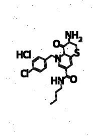 CCCCNC(=O)C1=CN(Cc2ccc(Cl)cc2)C2C(=O)[C@@H](N)CSC2=C1.Cl